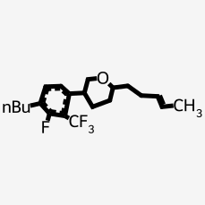 C/C=C/CCC1CCC(c2ccc(CCCC)c(F)c2C(F)(F)F)CO1